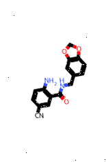 N#Cc1ccc(N)c(C(=O)NCc2ccc3c(c2)OCO3)c1